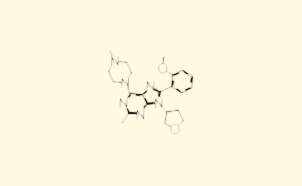 COc1ccccc1-c1nc2c(N3CCN(C)CC3)nc(C)nc2n1[C@@H]1CCOC1